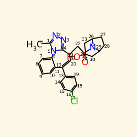 Cc1nnc2n1-c1ccccc1C(c1ccc(Cl)cc1)=CC2CC(=O)N1C2CCC1CC(O)C2